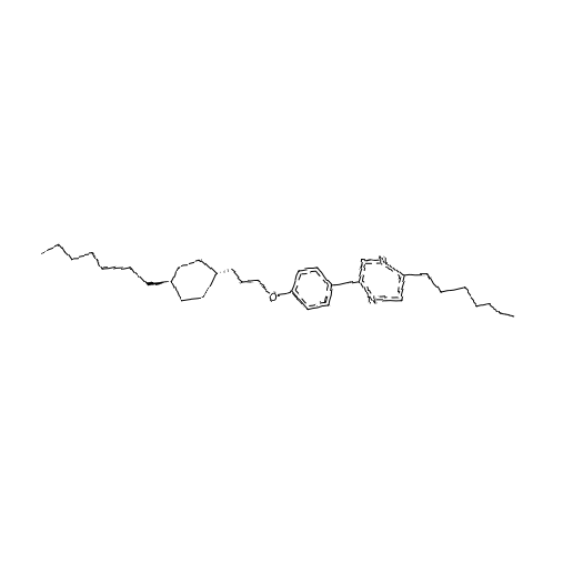 CCCCCCCc1cnc(-c2ccc(OCCC[C@H]3CC[C@H](CCCCCCC)CC3)cc2)cn1